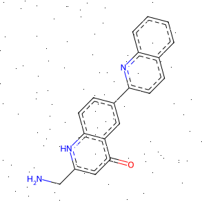 NCc1cc(=O)c2cc(-c3ccc4ccccc4n3)ccc2[nH]1